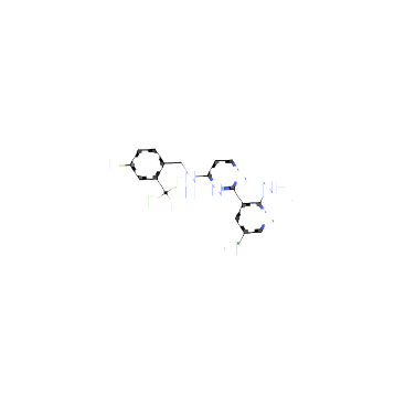 Nc1ncc(Cl)cc1-c1nccc(NCc2ccc(F)cc2C(F)(F)F)n1